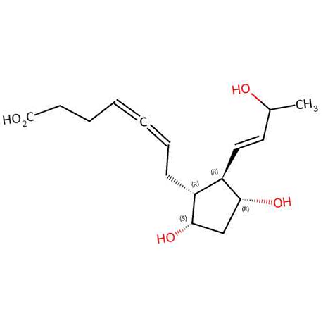 CC(O)C=C[C@@H]1[C@@H](CC=C=CCCC(=O)O)[C@@H](O)C[C@H]1O